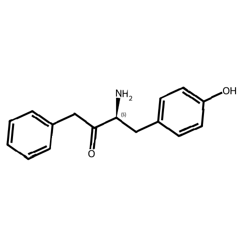 N[C@@H](Cc1ccc(O)cc1)C(=O)Cc1ccccc1